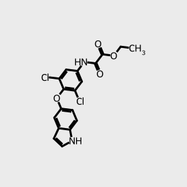 CCOC(=O)C(=O)Nc1cc(Cl)c(Oc2ccc3[nH]ccc3c2)c(Cl)c1